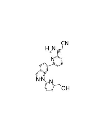 N#CC[C@@H](N)c1cccc(-c2ccc3cnn(-c4cccc(CO)n4)c3c2)n1